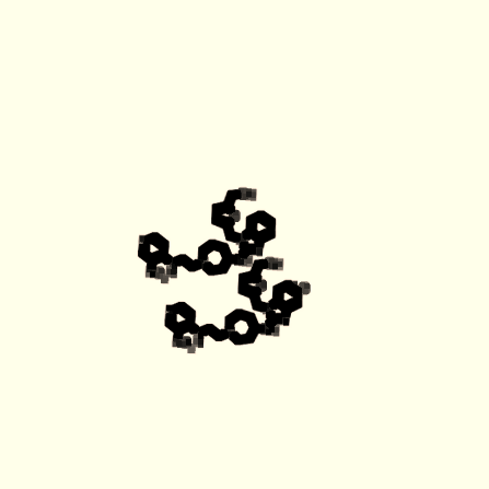 O.O=[N+]([O-])c1cnccc1NCCN1CCCC(Nc2nc3ccccc3n2Cc2ccc(CO)o2)CC1.O=[N+]([O-])c1cnccc1NCCN1CCCC(Nc2nc3ccccc3n2Cc2ccc(CO)o2)CC1